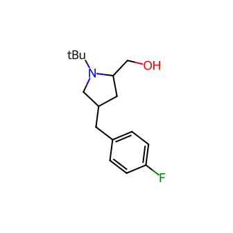 CC(C)(C)N1CC(Cc2ccc(F)cc2)CC1CO